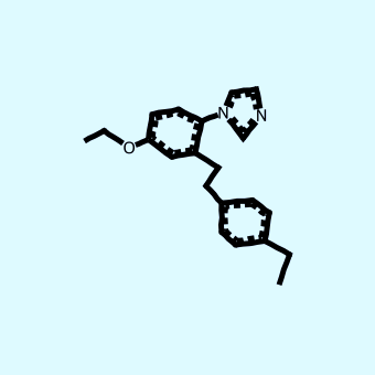 CCOc1ccc(-n2ccnc2)c(CCc2ccc(CC)cc2)c1